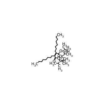 CCCCCCCC/C(C(=O)[O][SnH]([CH](C)C)[CH](C)C)=C(\CCCCCCCC)C(=O)[O][SnH]([CH](C)C)[CH](C)C